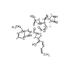 C=C(/C=C\C=C/C)[C@@H]1C[C@@H](C(=O)N[C@@H](C[C@@H]2CCNC2=O)C(C#N)NCC(=O)O)N(C(=O)c2cc3c(OC)cccc3[nH]2)C1